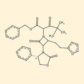 CC(C)(C)C(=O)C(C(=O)OCc1ccccc1)N1C(=O)C(N2C(=O)OC[C@@H]2c2ccccc2)C1CCc1ccco1